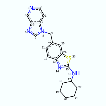 c1cc2c(cn1)ncn2Cc1ccc2nc(NC3CCCCC3)sc2c1